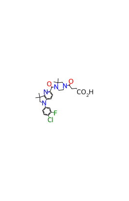 CC1(C)CN(c2ccc(Cl)c(F)c2)c2ccc(C(=O)N3CCN(C(=O)CCC(=O)O)CC3(C)C)nc21